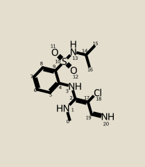 CN/C(Nc1ccccc1S(=O)(=O)NC(C)C)=C(/Cl)C=N